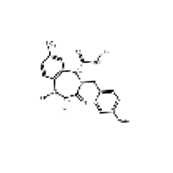 CC[C@H]1C(=O)N(Cc2ccc(OC)cc2)[C@@H](C(=O)NC(C)(C)C)c2cc([N+](=O)[O-])ccc2N1CC